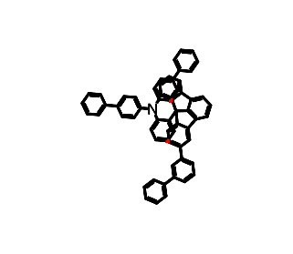 c1ccc(-c2ccc(N(c3ccc(-c4ccccc4)cc3)c3ccccc3C34c5ccccc5-c5cccc(c53)-c3cc(-c5cccc(-c6ccccc6)c5)ccc34)cc2)cc1